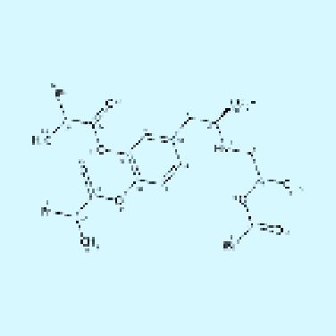 CCC(C)C(=O)OC(C)CN[C@@H](Cc1ccc(OC(=O)C(C)C(C)C)c(OC(=O)C(C)C(C)C)c1)C(=O)O